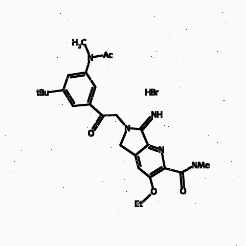 Br.CCOc1cc2c(nc1C(=O)NC)C(=N)N(CC(=O)c1cc(N(C)C(C)=O)cc(C(C)(C)C)c1)C2